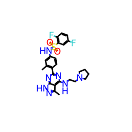 Cc1cc(NS(=O)(=O)c2cc(F)ccc2F)ccc1-c1nc(NCCN2CCCC2)c2c(C)n[nH]c2n1